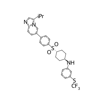 CC(C)c1cnc2ccc(-c3ccc(S(=O)(=O)[C@H]4CC[C@H](Nc5cccc(SC(F)(F)F)c5)CC4)cc3)cn12